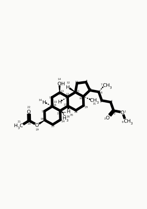 COC(=O)CC[C@@H](C)C1CC[C@H]2[C@@H]3[C@H](O)C[C@@H]4C[C@H](OC(C)=O)CC[C@]4(C)[C@H]3CC[C@]12C